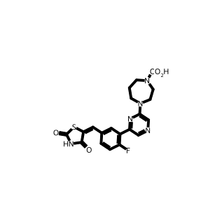 O=C1NC(=O)/C(=C\c2ccc(F)c(-c3cncc(N4CCCN(C(=O)O)CC4)n3)c2)S1